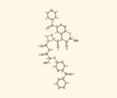 CCCN(Cc1ccc(C(=O)c2ccccc2)cc1)C(=O)OC(=O)C1CCC1C(=O)OC(=O)N(CCC)Cc1ccc(C(=O)c2ccccc2)cc1